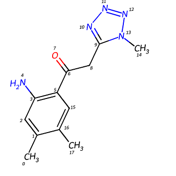 Cc1cc(N)c(C(=O)Cc2nnnn2C)cc1C